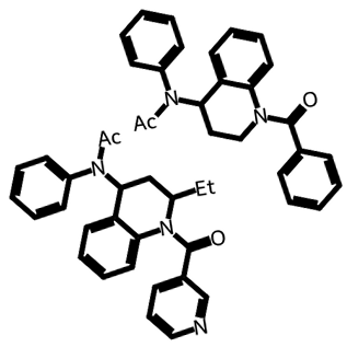 CC(=O)N(c1ccccc1)C1CCN(C(=O)c2ccccc2)c2ccccc21.CCC1CC(N(C(C)=O)c2ccccc2)c2ccccc2N1C(=O)c1cccnc1